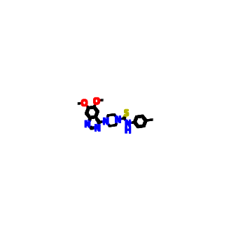 COc1cc2ncnc(N3CCN(C(=S)Nc4ccc(C)cc4)CC3)c2cc1OC